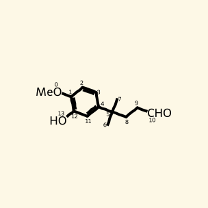 COc1ccc(C(C)(C)CCC=O)cc1O